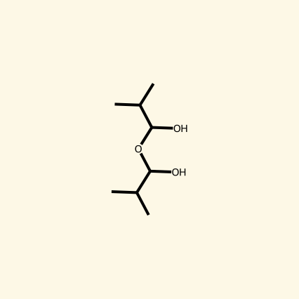 CC(C)C(O)OC(O)C(C)C